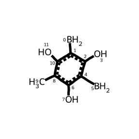 Bc1c(O)c(B)c(O)c(C)c1O